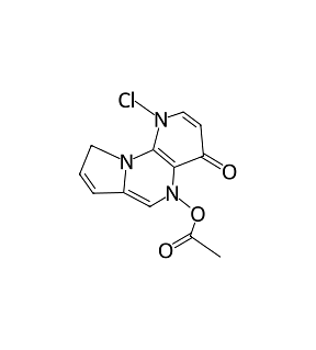 CC(=O)ON1C=C2C=CCN2c2c1c(=O)ccn2Cl